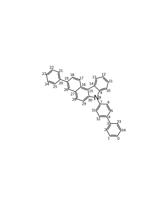 c1ccc(-c2ccc(-n3c4ccccc4c4c5ccc(-c6ccccc6)cc5ccc43)cc2)cc1